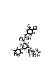 Cc1cc(-c2cc(CNC3=NCCN3)cc(C(=O)NCc3ccc(Cl)c(Cl)c3)n2)ccn1